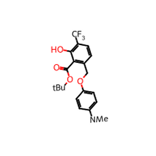 CNc1ccc(OCc2ccc(C(F)(F)F)c(O)c2C(=O)OC(C)(C)C)cc1